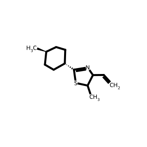 C=CC1N=C([C@H]2CC[C@H](C)CC2)SC1C